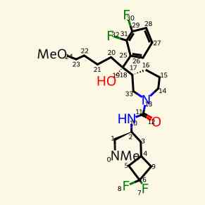 CNC[C@H](CC1CC(F)(F)C1)NC(=O)N1CCC[C@@H]([C@@](O)(CCCCOC)c2cccc(F)c2F)C1